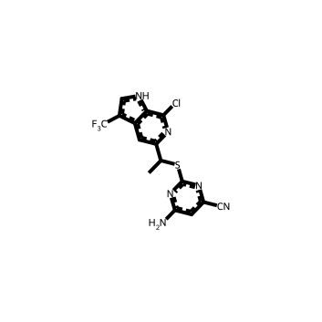 CC(Sc1nc(N)cc(C#N)n1)c1cc2c(C(F)(F)F)c[nH]c2c(Cl)n1